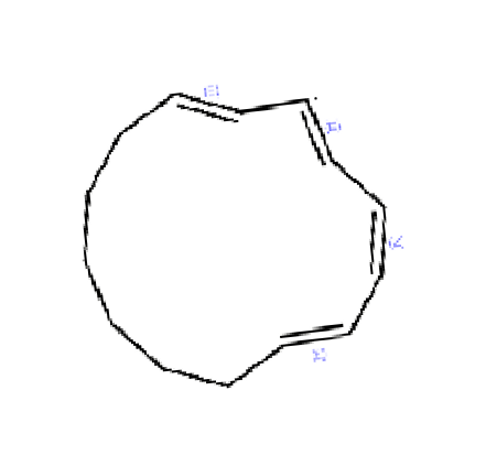 [C]1=C/C=C\C=C\CCCCCC/C=C/1